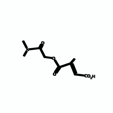 C/C(=C\C(=O)O)C(=O)OCC(=O)N(C)C